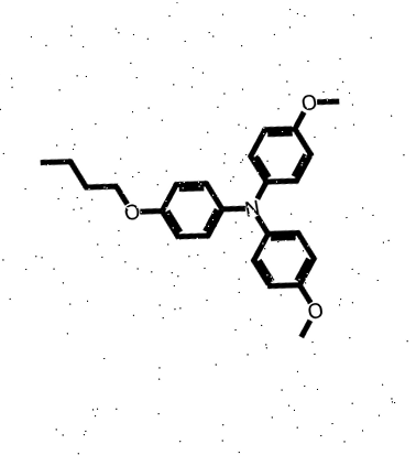 CCCCOc1ccc(N(c2ccc(OC)cc2)c2ccc(OC)cc2)cc1